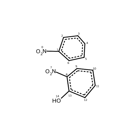 O=[N+]([O-])c1ccccc1.O=[N+]([O-])c1ccccc1O